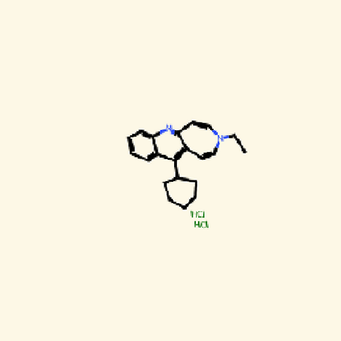 CCN1C=Cc2nc3ccccc3c(C3CCCCC3)c2C=C1.Cl.Cl